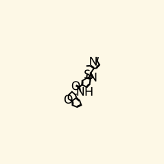 Cc1ccc(-c2nc3ccc(C(=O)N[C@H]4CCOc5ccccc54)cc3s2)c(C)n1